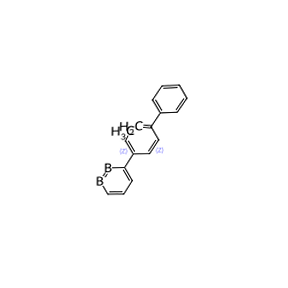 C=C(/C=C\C(=C/C)c1bbccc1)c1ccccc1